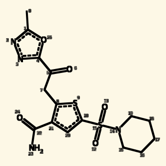 Cc1nnc(C(=O)Cc2sc(S(=O)(=O)N3CCCCC3)cc2C(N)=O)o1